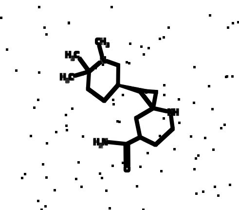 CN1C[C@@H](C2CC23CC(C(N)=O)CCN3)CCC1(C)C